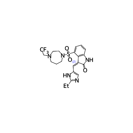 CCc1ncc(/C=C2\C(=O)Nc3cccc(S(=O)(=O)N4CCCN(CC(F)(F)F)CC4)c32)[nH]1